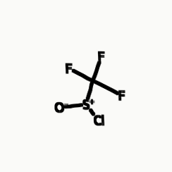 [O-][S+](Cl)C(F)(F)F